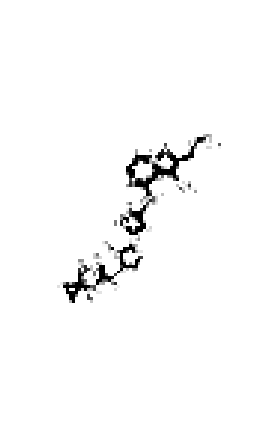 COCc1nn2ccnc(Nc3cc([C@H]4OC[C@@H](OC(=O)NC5(C)CC5)[C@@H]4F)[nH]n3)c2c1C